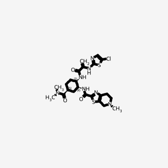 C=C(Nc1ncc(Cl)s1)C(=O)N[C@H]1CC[C@H](C(=O)N(C)C)C[C@H]1NC(=O)c1nc2c(s1)CN(C)CC2